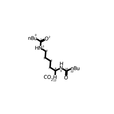 CCCCC(=O)NCCCCC(NC(=O)CCCC)C(=O)O